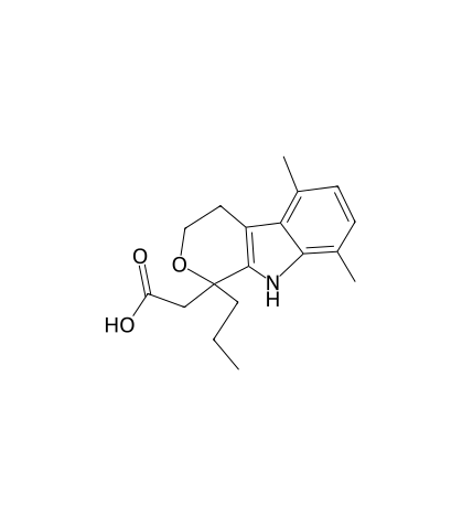 CCCC1(CC(=O)O)OCCc2c1[nH]c1c(C)ccc(C)c21